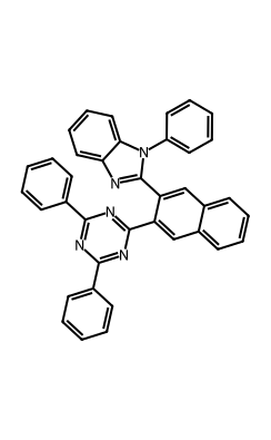 c1ccc(-c2nc(-c3ccccc3)nc(-c3cc4ccccc4cc3-c3nc4ccccc4n3-c3ccccc3)n2)cc1